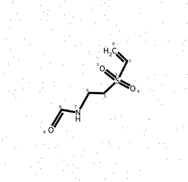 C=CS(=O)(=O)CCNC=O